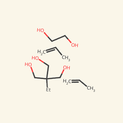 C=CC.C=CC.CCC(CO)(CO)CO.OCCO